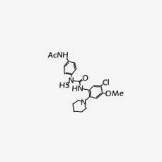 COc1cc(N2CCCCC2)c(NC(=O)N(S)c2ccc(NC(C)=O)cc2)cc1Cl